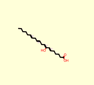 CCCCC/C=C/C/C=C/C/C=C(O)/C=C/CCCCC(=O)O